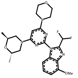 COc1cccc2c1nc(C(F)F)n2-c1nc(N2CCOCC2)cc(N2C[C@H](C)O[C@@H](C)C2)n1